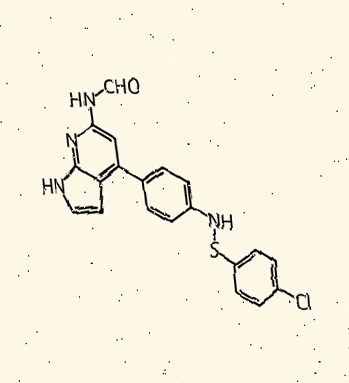 O=CNc1cc(-c2ccc(NSc3ccc(Cl)cc3)cc2)c2cc[nH]c2n1